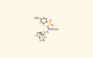 Cc1ccc(S(=O)(=O)ON(CCC23CC4CC(CC(C4)C2)C3)C(=O)O)cc1